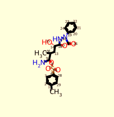 Cc1ccc(S(=O)(=O)OC(N)C(C)C[C@H](O)C2NN(c3ccccc3)C(=O)O2)cc1